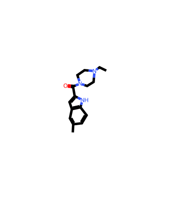 CCN1CCN(C(=O)c2cc3cc(C)ccc3[nH]2)CC1